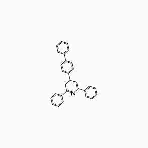 C1=C(c2ccccc2)N=C(c2ccccc2)CC1c1ccc(-c2ccccc2)cc1